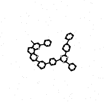 Cc1cc(-c2ccccc2)nc2c1ccc1ccc(-c3cccc(-c4ccc(-c5nc(-c6ccccc6)nc(-c6ccc(-c7ccccc7)cc6)n5)cc4)c3)nc12